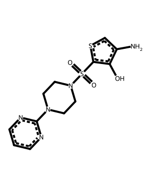 Nc1csc(S(=O)(=O)N2CCN(c3ncccn3)CC2)c1O